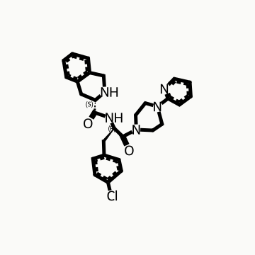 O=C(N[C@H](Cc1ccc(Cl)cc1)C(=O)N1CCN(c2ccccn2)CC1)[C@@H]1Cc2ccccc2CN1